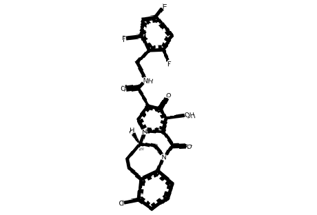 O=C(NCc1c(F)cc(F)cc1F)c1cn2c(c(O)c1=O)C(=O)N1C[C@@H]2CCc2c(Cl)cccc21